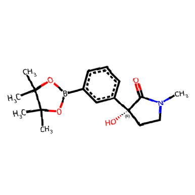 CN1CC[C@@](O)(c2cccc(B3OC(C)(C)C(C)(C)O3)c2)C1=O